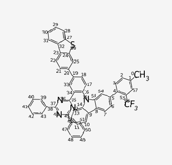 Cc1ccc(-c2ccc3c4ccccc4n(-c4ccc(-c5ccc6c(c5)sc5ccccc56)cc4-c4nc(-c5ccccc5)nc(-c5ccccc5)n4)c3c2)c(C(F)(F)F)c1